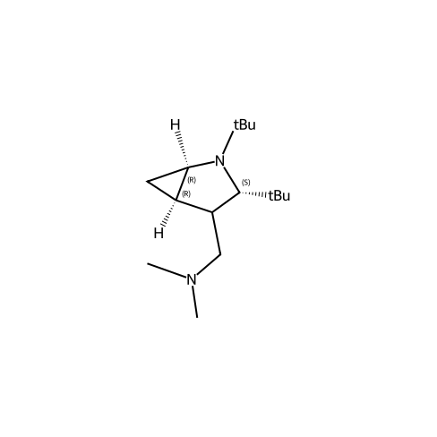 CN(C)CC1[C@H]2C[C@H]2N(C(C)(C)C)[C@@H]1C(C)(C)C